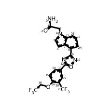 NC(=O)Cn1ccc2c(-c3noc(-c4ccc(OCC(F)(F)F)c(C(F)(F)F)c4)n3)cccc21